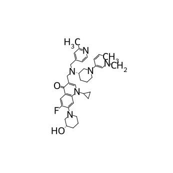 C=N/C=C(\C=C/C)N1CCC[C@H](N(Cc2ccnc(C)c2)Cc2cn(C3CC3)c3cc(N4CCC[C@H](O)C4)c(F)cc3c2=O)C1